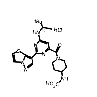 C[C@@H](Nc1cc(C(=O)N2CCC(NC(=O)O)CC2)nc(-c2cnn3ccsc23)n1)C(C)(C)C.Cl